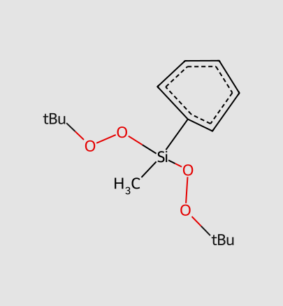 CC(C)(C)OO[Si](C)(OOC(C)(C)C)c1ccccc1